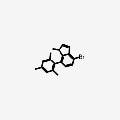 Cc1cc(C)c(-c2ccc(Br)c3c2C(C)C=C3)c(C)c1